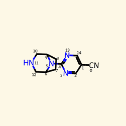 N#Cc1cnc(N2C3CCC2CNC3)nc1